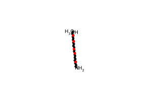 CPCCCCCCCCCCCCCCCCCCCCCCCN